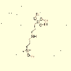 CCO[Si](C)(C)CCCNCCC[Si](OCC)(OCC)OCC